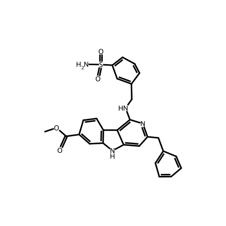 COC(=O)c1ccc2c(c1)[nH]c1cc(Cc3ccccc3)nc(NCc3cccc(S(N)(=O)=O)c3)c12